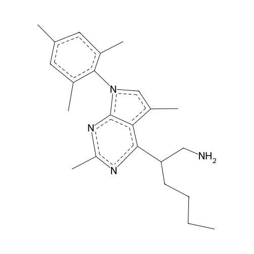 CCCCC(CN)c1nc(C)nc2c1c(C)cn2-c1c(C)cc(C)cc1C